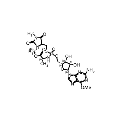 COc1nc(N)nc2c1ncn2[C@@H]1O[C@H](CO[P@@](=O)(N[C@H](C)C(=O)OC(C)C)SCC2C(=O)N(C)C(=O)N2C)[C@@H](O)[C@H]1O